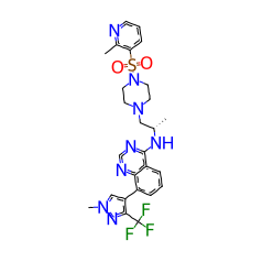 Cc1ncccc1S(=O)(=O)N1CCN(C[C@H](C)Nc2ncnc3c(-c4cn(C)nc4C(F)(F)F)cccc23)CC1